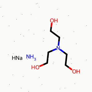 N.OCCN(CCO)CCO.[NaH]